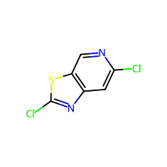 Clc1cc2nc(Cl)sc2cn1